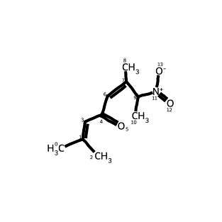 CC(C)=CC(=O)C=C(C)C(C)[N+](=O)[O-]